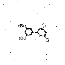 CC(C)(C)c1cc(-c2cc(Cl)cc(Cl)c2)cc(C(C)(C)C)c1